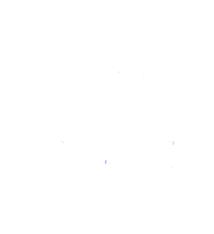 CC(NC(=O)CC(=O)Nc1ccc(C(=N)N)cc1)c1ccc(OC2CCN(C)CC2)c(Br)c1